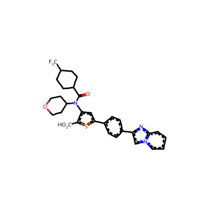 O=C(O)c1sc(-c2ccc(-c3cn4ccccc4n3)cc2)cc1N(C(=O)C1CCC(C(F)(F)F)CC1)C1CCOCC1